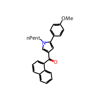 CCCCCn1cc(C(=O)c2cccc3ccccc23)cc1-c1ccc(OC)cc1